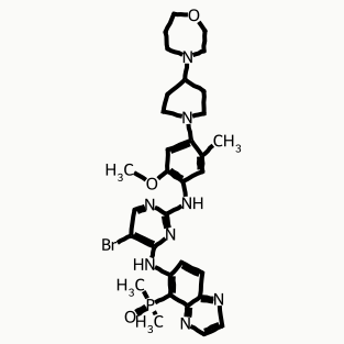 COc1cc(N2CCC(N3CCCOCC3)CC2)c(C)cc1Nc1ncc(Br)c(Nc2ccc3nccnc3c2P(C)(C)=O)n1